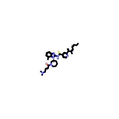 C=C(/C(C)=C\C=C/CC)c1cc(C(=S)Nc2nc3cccc(C)c3n2[C@@H]2CCCCN(C(=O)/C=C/CN(C)C)C2)ccn1